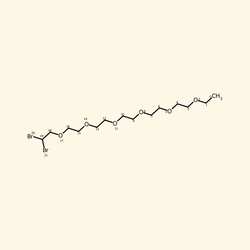 CCOCCOCCOCCOCCOCCOCC(Br)Br